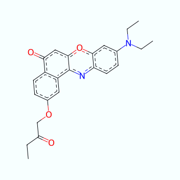 CCC(=O)COc1ccc2c(=O)cc3oc4cc(N(CC)CC)ccc4nc-3c2c1